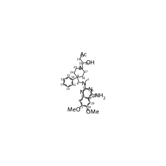 COc1cc2nc(N(C)CC3(c4ccccc4)CCN(C(O)CC(C)=O)CC3)nc(N)c2cc1OC